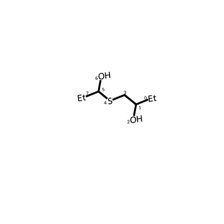 CCC(O)CSC(O)CC